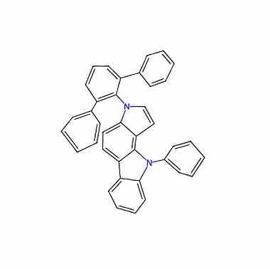 c1ccc(-c2cccc(-c3ccccc3)c2-n2ccc3c2ccc2c4ccccc4n(-c4ccccc4)c23)cc1